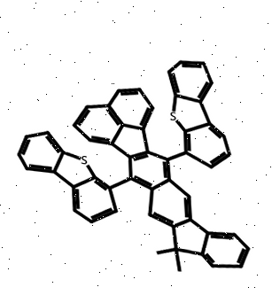 CC1(C)c2ccccc2-c2cc3c(-c4cccc5c4sc4ccccc45)c4c(c(-c5cccc6c5sc5ccccc56)c3cc21)-c1cccc2cccc-4c12